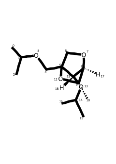 CC(C)OCC12CO[C@@H]([C@H](C)O1)[C@@H]2OC(C)C